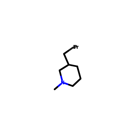 CC(C)CC1CCCN(C)C1